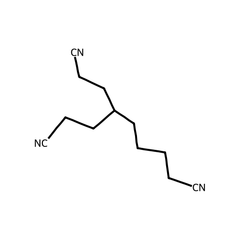 N#CCCCCC(CCC#N)CCC#N